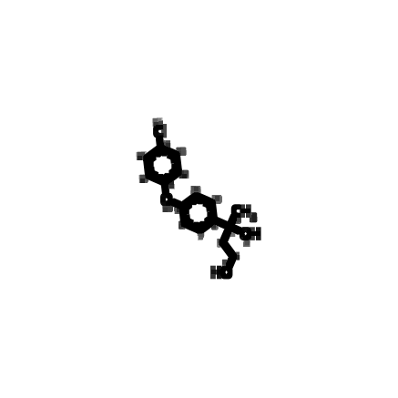 CC(O)(CCO)c1ccc(Oc2ccc(Cl)cc2)cc1